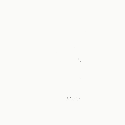 COCCN(C)C(=O)c1cccc(C)c1